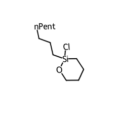 CCCCCCCC[Si]1(Cl)CCCCO1